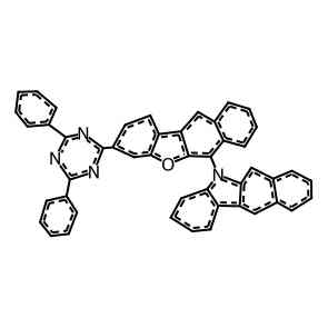 c1ccc(-c2nc(-c3ccccc3)nc(-c3ccc4c(c3)oc3c(-n5c6ccccc6c6cc7ccccc7cc65)c5ccccc5cc34)n2)cc1